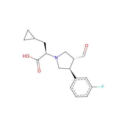 O=C[C@H]1CN([C@H](CC2CC2)C(=O)O)C[C@@H]1c1cccc(F)c1